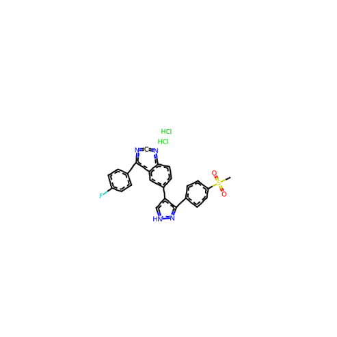 CS(=O)(=O)c1ccc(-c2n[nH]cc2-c2ccc3ncnc(-c4ccc(F)cc4)c3c2)cc1.Cl.Cl